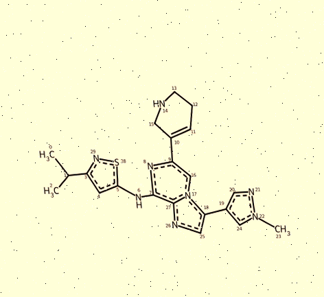 CC(C)c1cc(Nc2nc(C3=CCCNC3)cn3c(-c4cnn(C)c4)cnc23)sn1